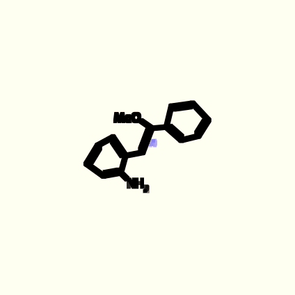 CO/C(=C\c1ccccc1N)c1ccccc1